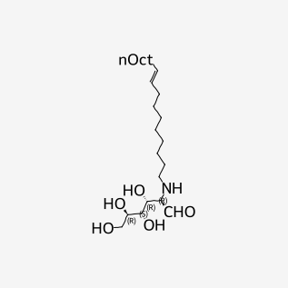 CCCCCCCCC=CCCCCCCCCN[C@@H](C=O)[C@@H](O)[C@H](O)[C@H](O)CO